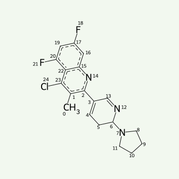 Cc1c(C2=CCC(N3CCCC3)N=C2)nc2cc(F)cc(F)c2c1Cl